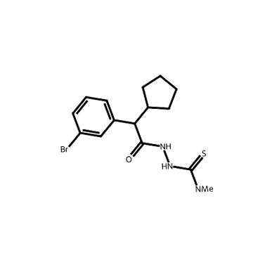 CNC(=S)NNC(=O)C(c1cccc(Br)c1)C1CCCC1